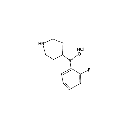 Cl.[O-][S+](c1ccccc1F)C1CCNCC1